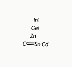 [Cd].[Ge].[In].[O]=[Sn].[Zn]